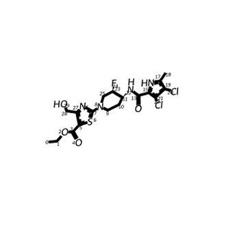 CCOC(=O)c1sc(N2CC[C@@H](NC(=O)c3[nH]c(C)c(Cl)c3Cl)[C@@H](F)C2)nc1CO